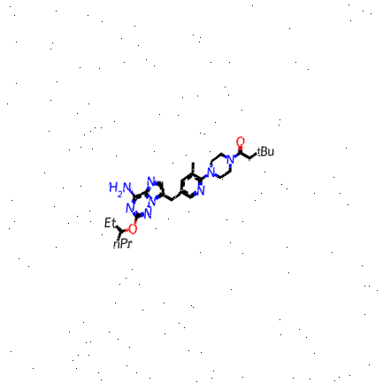 CCCC(CC)Oc1nc(N)c2ncc(Cc3cnc(N4CCN(C(=O)[CH]C(C)(C)C)CC4)c(C)c3)n2n1